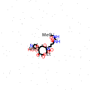 CC[C@H]1OC(=O)[C@](C)(F)C(=O)[C@H](C)[C@@H](O[C@H]2O[C@H](C)C[C@H](N(C)C)[C@H]2O)[C@@](C)(OC)C[C@@H](C)C(=O)[C@H](C)[C@@H]2N(CCCCC(=O)N[C@@H](C)C(=O)N[C@@H](C)C(=O)OC)C(=O)O[C@@]21C